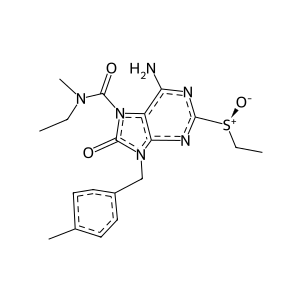 CCN(C)C(=O)n1c(=O)n(Cc2ccc(C)cc2)c2nc([S@@+]([O-])CC)nc(N)c21